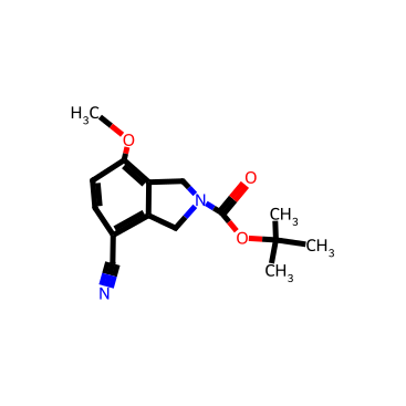 COc1ccc(C#N)c2c1CN(C(=O)OC(C)(C)C)C2